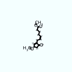 COC(=O)CCC/C=C\CC1=CC(OC)CC1=O